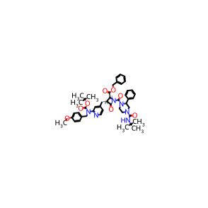 COc1ccc(CN(C(=O)OC(C)(C)C)c2cc(C[C@H]3C(=O)N(C(=O)N4CCN(C(=O)NC(C)(C)C)CC4c4ccccc4)[C@@H]3C(=O)OCc3ccccc3)ccn2)cc1